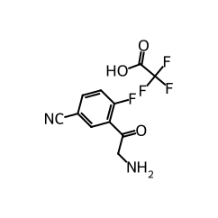 N#Cc1ccc(F)c(C(=O)CN)c1.O=C(O)C(F)(F)F